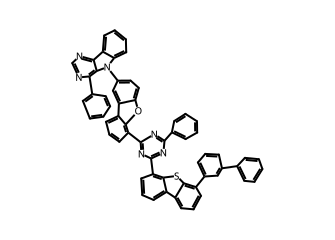 c1ccc(-c2cccc(-c3cccc4c3sc3c(-c5nc(-c6ccccc6)nc(-c6cccc7c6oc6ccc(-n8c9ccccc9c9ncnc(-c%10ccccc%10)c98)cc67)n5)cccc34)c2)cc1